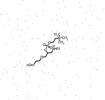 CCCCCCCCCCCCOCC(CNCC)OP(=O)([O-])OCC[N+](C)(C)C